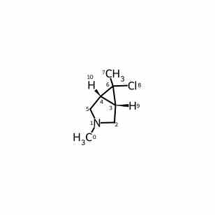 CN1C[C@@H]2[C@H](C1)C2(C)Cl